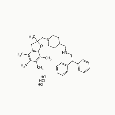 Cc1c(C)c2c(c(C)c1N)CC(C)(CN1CCC(CNCC(c3ccccc3)c3ccccc3)CC1)O2.Cl.Cl.Cl